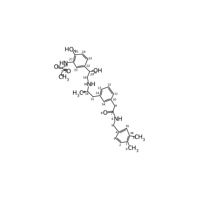 Cc1ccc(CNC(=O)Cc2cccc(C[C@@H](C)NC[C@H](O)c3ccc(O)c(NS(C)(=O)=O)c3)c2)cc1C